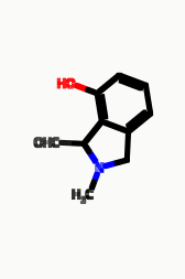 CN1Cc2cccc(O)c2C1C=O